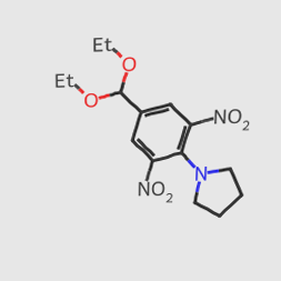 CCOC(OCC)c1cc([N+](=O)[O-])c(N2CCCC2)c([N+](=O)[O-])c1